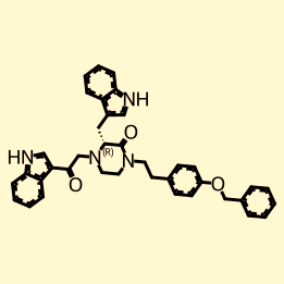 O=C(CN1CCN(CCc2ccc(OCc3ccccc3)cc2)C(=O)[C@H]1Cc1c[nH]c2ccccc12)c1c[nH]c2ccccc12